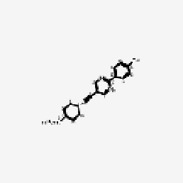 CCCCC[C@H]1CC[C@H](C#Cc2cnc(-c3ccc(F)cc3)nc2)CC1